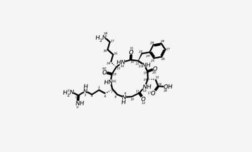 N=C(N)NCCC[C@H]1CNCC(=O)N[C@@H](CC(=O)O)C(=O)N[C@H](Cc2ccccc2)C(=O)N[C@@H](CCCCN)C(=O)N1